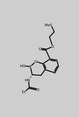 CCC(=O)N[C@H]1Cc2cccc(C(=O)OCCSC)c2OB1O